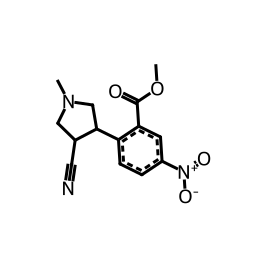 COC(=O)c1cc([N+](=O)[O-])ccc1C1CN(C)CC1C#N